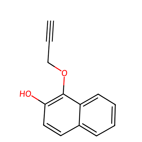 C#CCOc1c(O)ccc2ccccc12